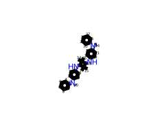 CN(c1ccccc1)c1ccc(NC2C(C)(C)C(Nc3ccc(N(C)c4ccccc4)cc3)C2(C)C)cc1